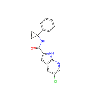 O=C(NC1(c2ccccc2)CC1)c1cc2cc(Cl)cnc2[nH]1